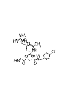 CC(=O)N[C@@H](CCCNC(=N)N)C(=O)N[C@@H](CCC(=O)C=N)C(=O)NCc1ccc(Cl)cc1